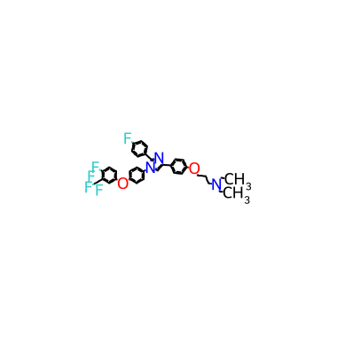 CCN(CC)CCCOc1ccc(-c2cn(-c3ccc(Oc4ccc(F)c(C(F)(F)F)c4)cc3)c(-c3ccc(F)cc3)n2)cc1